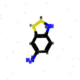 Nc1ccc2c(c1)SSN2